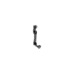 c1ccc(CCCC2CCN(CCCCCCCCCCCCN3CCC(CCCc4ccccc4)CC3)CC2)cc1